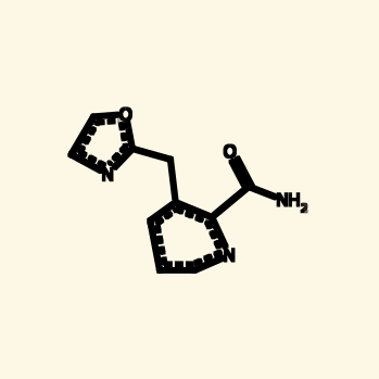 NC(=O)c1ncccc1Cc1ncco1